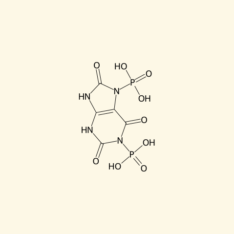 O=c1[nH]c2[nH]c(=O)n(P(=O)(O)O)c2c(=O)n1P(=O)(O)O